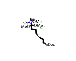 CCCCCCCCCCCCCCCCCC(OC)(OC)[N+]([SiH3])(CCC)OC.[Cl-]